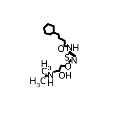 CC(C)NCC(O)COc1ncc(NC(=O)CCCC2CCCCC2)s1